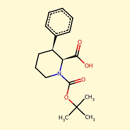 CC(C)(C)OC(=O)N1CCC[C@@H](c2ccccc2)[C@H]1C(=O)O